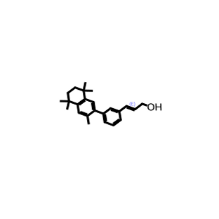 Cc1cc2c(cc1-c1cccc(/C=C/CO)c1)C(C)(C)CCC2(C)C